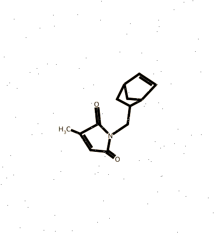 CC1=CC(=O)N(CC2CC3C=CC2C3)C1=O